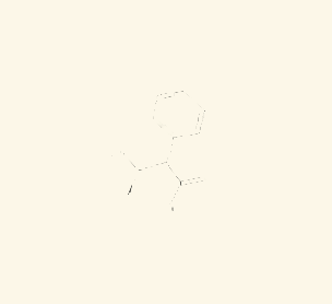 C[C@@H](N)C(C(=O)O)c1ccccc1.Cl